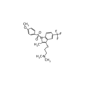 COc1ccc(S(=O)(=O)n2c(C)c(SCCN(C)C)c3cc(C(F)(F)F)ccc32)cc1